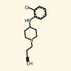 C#CCCN1CCC(Nc2ccccc2Cl)CC1